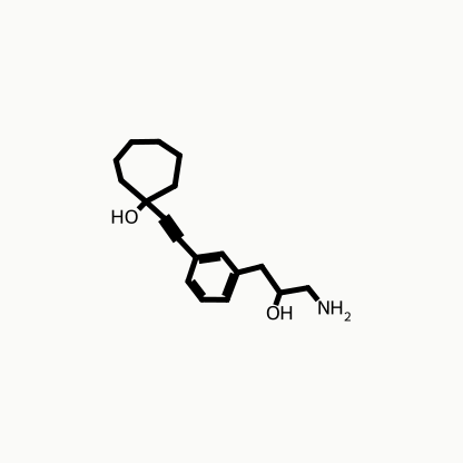 NCC(O)Cc1cccc(C#CC2(O)CCCCCC2)c1